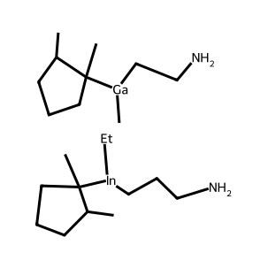 CC1CCC[C]1(C)[Ga]([CH3])[CH2]CN.C[CH2][In]([CH2]CCN)[C]1(C)CCCC1C